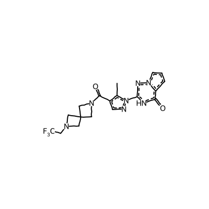 Cc1c(C(=O)N2CC3(CN(CC(F)(F)F)C3)C2)cnn1-c1nn2cccc2c(=O)[nH]1